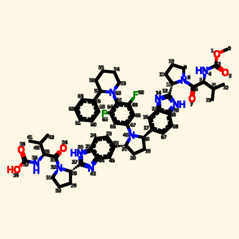 COC(=O)N[C@H](C(=O)N1CCC[C@H]1c1nc2cc([C@H]3CC[C@H](c4ccc5[nH]c([C@@H]6CCCN6C(=O)[C@@H](NC(=O)O)C(C)C)nc5c4)N3c3cc(F)c(N4CCCCC4c4ccccc4)c(F)c3)ccc2[nH]1)C(C)C